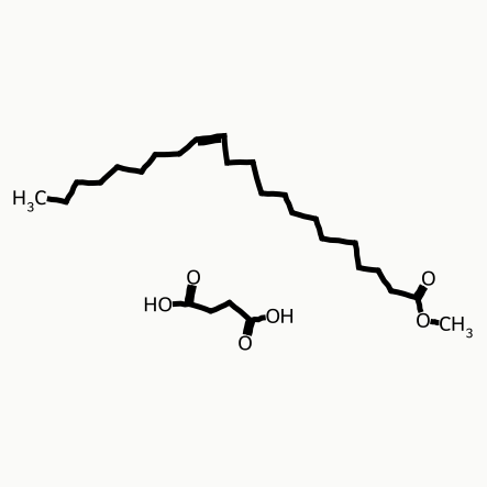 CCCCCCCC/C=C\CCCCCCCCCCCC(=O)OC.O=C(O)CCC(=O)O